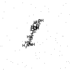 C[C@]12CC[C@H](O)C[C@H]1CC[C@@H]1[C@@H]2CC[C@]2(C)[C@@H](/C=C/CNOCCNC(=N)N)CC[C@]12O